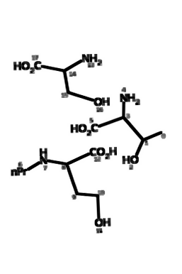 CC(O)C(N)C(=O)O.CCCNC(CCO)C(=O)O.NC(CO)C(=O)O